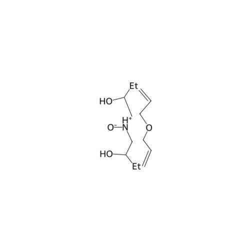 C=CCOCC=C.CCC(O)C[NH+]([O-])CC(O)CC